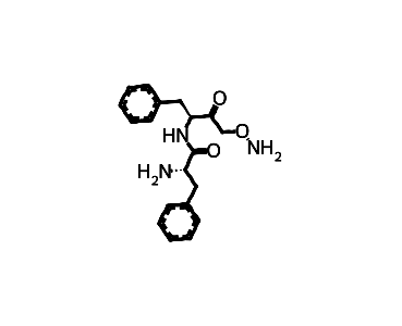 NOCC(=O)[C@H](Cc1ccccc1)NC(=O)[C@@H](N)Cc1ccccc1